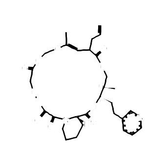 C=CCC1/C=C(\C)CCOC(=O)CCCC(=O)C(=O)N2CCCC[C@H]2C(=O)O[C@H](CCc2cccnc2)[C@H](C)CCC1=O